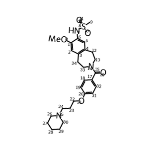 COc1cc2c(cc1NS(C)(=O)=O)CCN(C(=O)c1ccc(OCCCN3CCCCC3)cc1)CC2